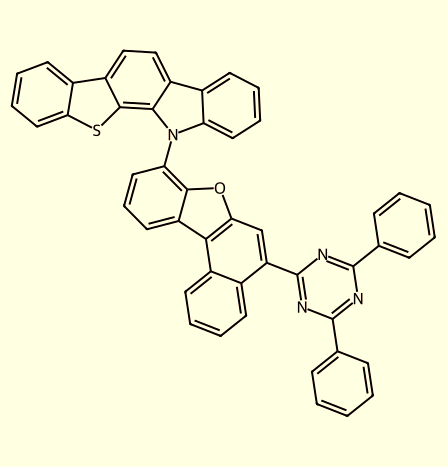 c1ccc(-c2nc(-c3ccccc3)nc(-c3cc4oc5c(-n6c7ccccc7c7ccc8c9ccccc9sc8c76)cccc5c4c4ccccc34)n2)cc1